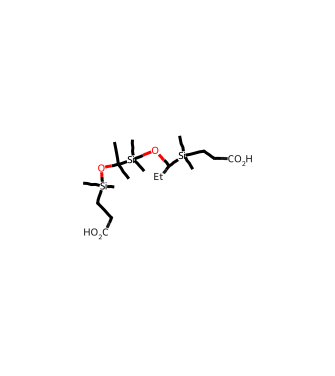 CCC(O[Si](C)(C)C(C)(C)O[Si](C)(C)CCC(=O)O)[Si](C)(C)CCC(=O)O